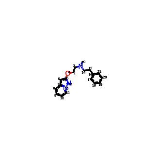 CN(CCOc1cc2ccccn2n1)CCc1ccccc1